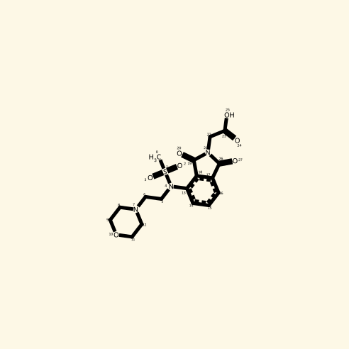 CS(=O)(=O)N(CCN1CCOCC1)c1cccc2c1C(=O)N(CC(=O)O)C2=O